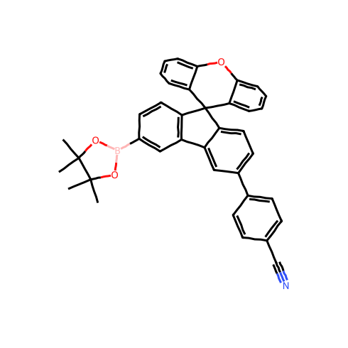 CC1(C)OB(c2ccc3c(c2)-c2cc(-c4ccc(C#N)cc4)ccc2C32c3ccccc3Oc3ccccc32)OC1(C)C